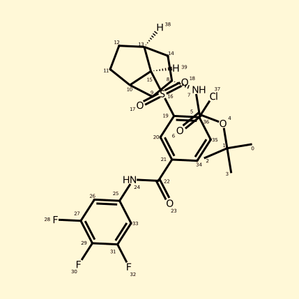 CC(C)(C)OC(=O)N[C@@H]1CC2CC[C@@H](C1)[C@H]2S(=O)(=O)c1cc(C(=O)Nc2cc(F)c(F)c(F)c2)ccc1Cl